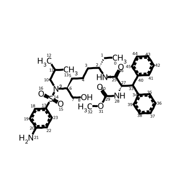 CC[C@@H](CCC[C@@H](CO)N(CC(C)C)S(=O)(=O)c1ccc(N)cc1)NC(=O)[C@@H](NC(=O)OC)C(c1ccccc1)c1ccccc1